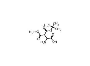 COC(=O)C(C(=O)OC(C)(C)C)C(N)C(=O)O